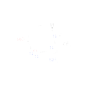 CC1(O)CCCCC[C@@H]2CCCN2c2nc(c(N)cc2C(F)(F)F)-c2nnc1o2